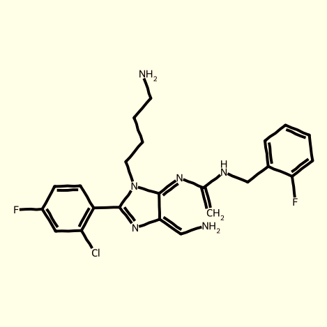 C=C(/N=C1\C(=C/N)N=C(c2ccc(F)cc2Cl)N1CCCCN)NCc1ccccc1F